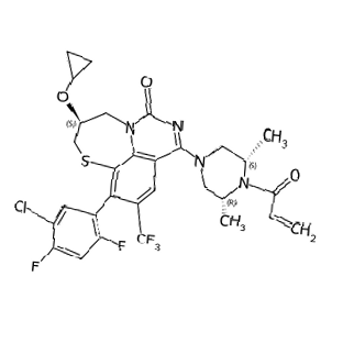 C=CC(=O)N1[C@H](C)CN(c2nc(=O)n3c4c(c(-c5cc(Cl)c(F)cc5F)c(C(F)(F)F)cc24)SC[C@@H](OC2CC2)C3)C[C@@H]1C